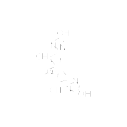 CCCCC(=O)CCCC.Oc1cnc(-c2ccc(Oc3ccc(-c4ncc(O)cn4)cc3)cc2)nc1